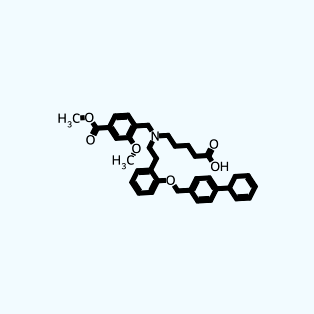 COC(=O)c1ccc(CN(CCCCC(=O)O)CCc2ccccc2OCc2ccc(C3C=CC=CC3)cc2)c(OC)c1